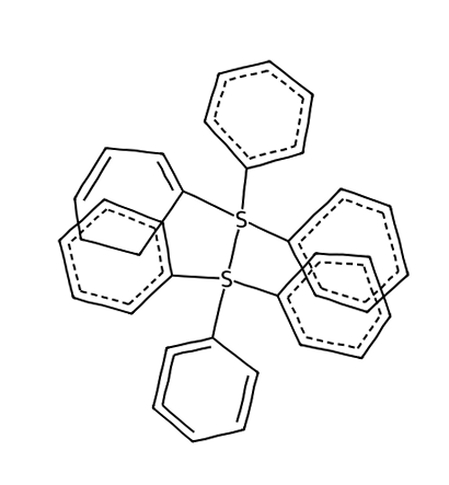 C1=C=C(S(c2ccccc2)(c2ccccc2)S(C2=CC=CCC2)(c2ccccc2)c2ccccc2)C=CC=1